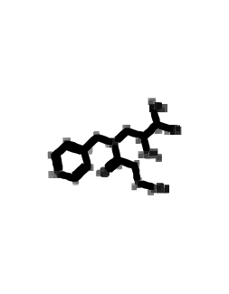 CCCCSCC(=O)N(Cc1ccncc1)CC(C)C(CC)CCCC